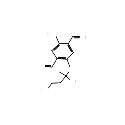 C=Cc1cc(OC(C)(C)CCOC)c(C=C)cc1OC